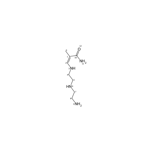 CC(=CNCCNCCN)C(N)=O